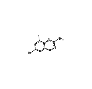 Cc1cc(Br)cc2cnc(N)nc12